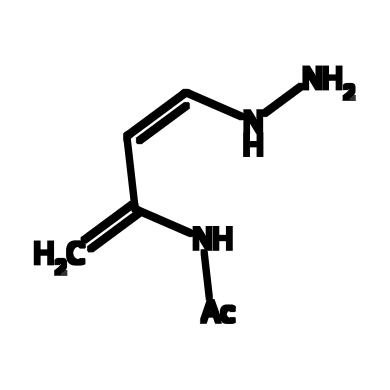 C=C(/C=C\NN)NC(C)=O